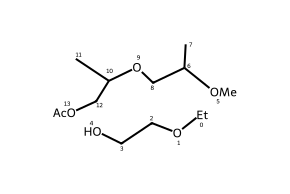 CCOCCO.COC(C)COC(C)COC(C)=O